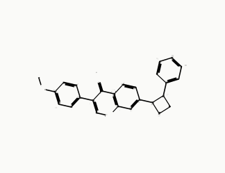 COc1ccc(-c2coc3cc(C4CCC4c4ccccc4)ccc3c2=O)cc1